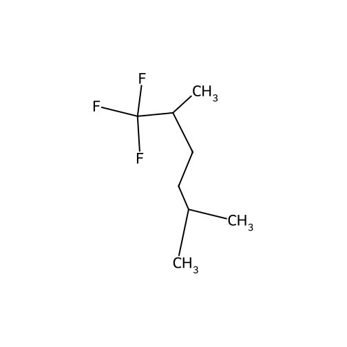 CC(C)CCC(C)C(F)(F)F